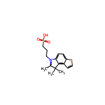 CC1=[N+](CCCS(=O)(=O)O)c2ccc3sccc3c2C1(C)C